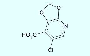 O=C(O)c1c(Cl)cnc2c1OCO2